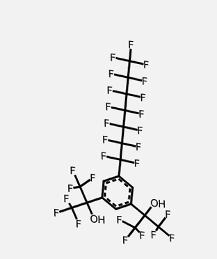 OC(c1cc(C(F)(F)C(F)(F)C(F)(F)C(F)(F)C(F)(F)C(F)(F)C(F)(F)F)cc(C(O)(C(F)(F)F)C(F)(F)F)c1)(C(F)(F)F)C(F)(F)F